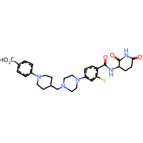 O=C1CCC(NC(=O)c2ccc(N3CCN(CC4CCN(c5ccc(C(=O)O)cc5)CC4)CC3)cc2F)C(=O)N1